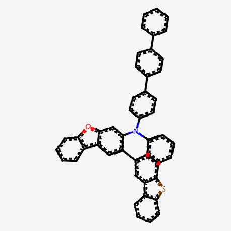 c1ccc(-c2ccc(-c3ccc(N(c4ccccc4)c4cc5oc6ccccc6c5cc4-c4ccc5sc6ccccc6c5c4)cc3)cc2)cc1